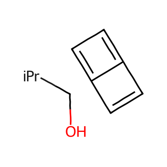 CC(C)CO.c1cc2ccc1-2